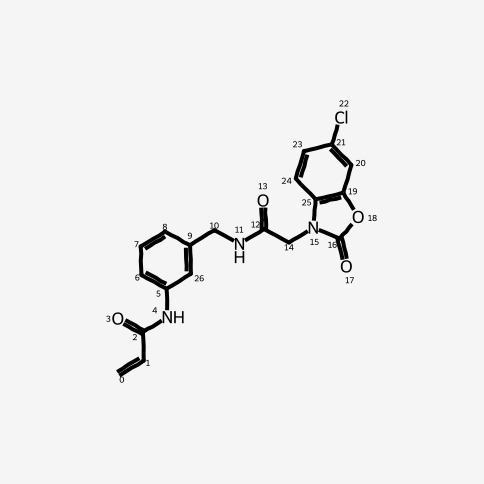 C=CC(=O)Nc1cccc(CNC(=O)Cn2c(=O)oc3cc(Cl)ccc32)c1